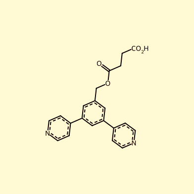 O=C(O)CCC(=O)OCc1cc(-c2ccncc2)cc(-c2ccncc2)c1